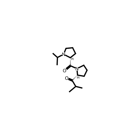 CC(C)C(=O)[C@H]1CCCN1C(=O)[C@H]1CCCN1C(C)C